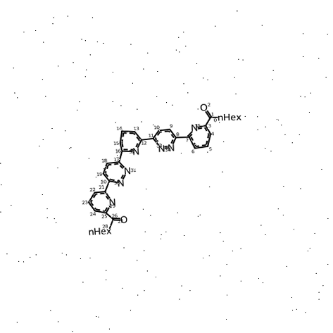 CCCCCCC(=O)c1cccc(-c2ccc(-c3cccc(-c4ccc(-c5cccc(C(=O)CCCCCC)n5)nn4)n3)nn2)n1